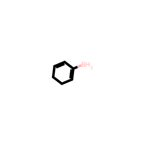 BC1=CCCC=C1